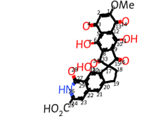 COC1=CC(=O)c2c(O)c3c(c(O)c2C1=O)C(=O)C1(CCc2cc4cc(C(=O)O)[nH]c(=O)c4c(O)c21)C3=O